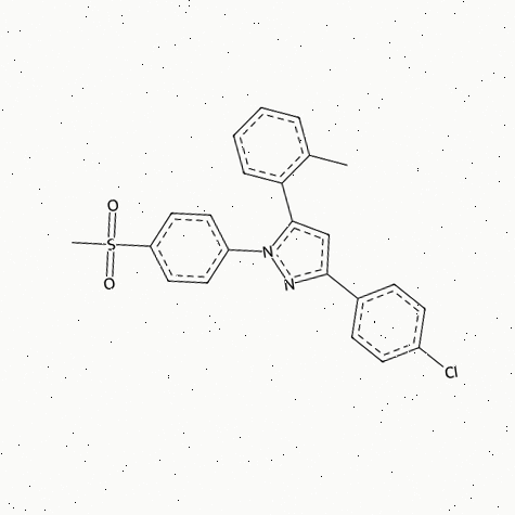 Cc1ccccc1-c1cc(-c2ccc(Cl)cc2)nn1-c1ccc(S(C)(=O)=O)cc1